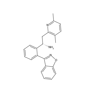 Cc1ccc(C)c(C[C@H](N)c2ccccc2-c2noc3ccccc23)n1